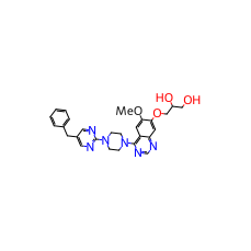 COc1cc2c(N3CCN(c4ncc(Cc5ccccc5)cn4)CC3)ncnc2cc1OCC(O)CO